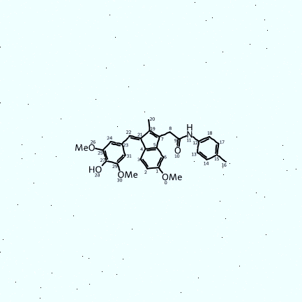 COc1ccc2c(c1)C(CC(=O)Nc1ccc(C)cc1)=C(C)/C2=C/c1cc(OC)c(O)c(OC)c1